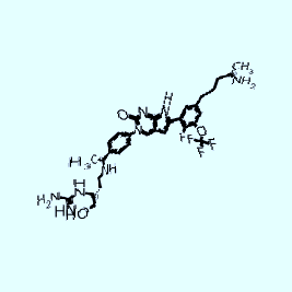 C[C@H](N)CCCc1cc(OC(F)(F)F)c(F)c(-c2cc3cn(-c4ccc([C@H](C)NCC[C@H](CO)NC(=N)N)cc4)c(=O)nc3[nH]2)c1